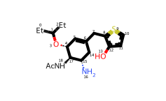 CCC(CC)O[C@@H]1C=C(Cc2sccc2O)C[C@H](N)[C@H]1NC(C)=O